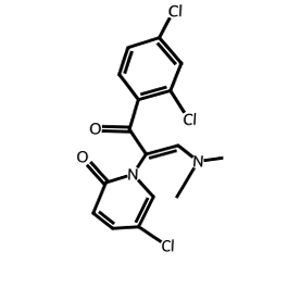 CN(C)C=C(C(=O)c1ccc(Cl)cc1Cl)n1cc(Cl)ccc1=O